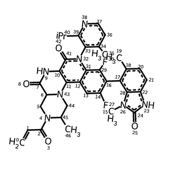 C=CC(=O)N1CC2C(=O)Nc3c(c4cc(F)c(-c5c(C)ccc6[nH]c(=O)n(C)c56)c(F)c4n(-c4c(C)ccnc4C(C)C)c3=O)N2CC1C